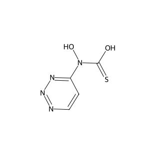 OC(=S)N(O)c1ccnnn1